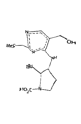 CSc1ncc(CO)c(NC2CCN(C(=O)O)C2C(C)(C)C)n1